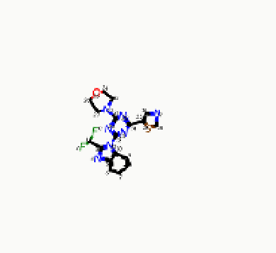 FC(F)c1nc2ccccc2n1-c1nc(-c2cncs2)nc(N2CCOCC2)n1